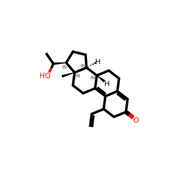 C=CC1CC(=O)C=C2CC[C@@H]3C(=C21)CC[C@]1(C)[C@@H](C(C)O)CC[C@@H]31